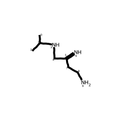 CC(C)NCC(=N)CCN